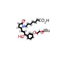 CC(C)(C)OCCOc1cccc(C(O)C=CC2CCC(=O)N2CCCCCCC(=O)O)c1